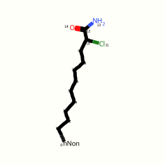 CCCCCCCCCCCCCCCCCCC(Cl)C(N)=O